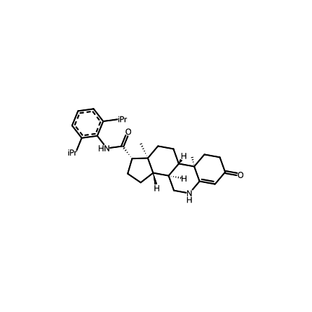 CC(C)c1cccc(C(C)C)c1NC(=O)[C@H]1CC[C@H]2[C@@H]3CNC4=CC(=O)CC[C@]4(C)[C@H]3CC[C@]12C